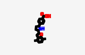 Cc1ccc(C)c2c1CC(C1CCC(c3ccc(C(=O)O)cc3)N1)O2